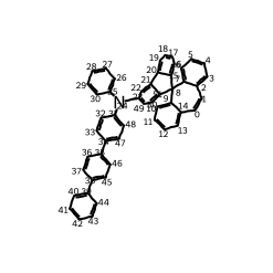 C1=Cc2ccccc2C2(c3ccccc31)c1ccccc1-c1cc(N(c3ccccc3)c3ccc(-c4ccc(-c5ccccc5)cc4)cc3)ccc12